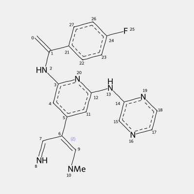 C=C(Nc1cc(/C(C=N)=C/NC)cc(Nc2cnccn2)n1)c1ccc(F)cc1